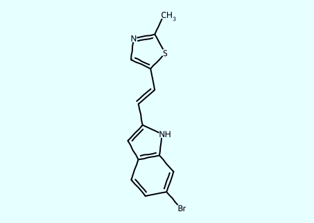 Cc1ncc(C=Cc2cc3ccc(Br)cc3[nH]2)s1